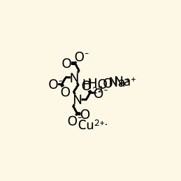 O.O.O=C([O-])CN(CCN(CC(=O)[O-])CC(=O)[O-])CC(=O)[O-].[Cu+2].[Na+].[Na+]